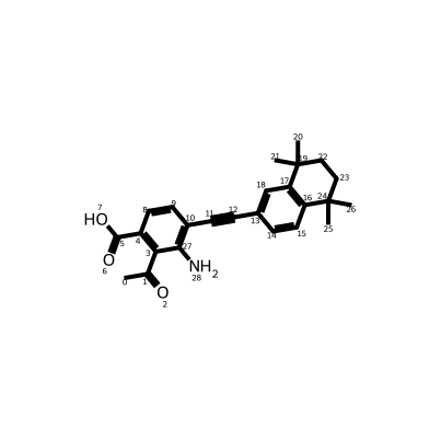 CC(=O)c1c(C(=O)O)ccc(C#Cc2ccc3c(c2)C(C)(C)CCC3(C)C)c1N